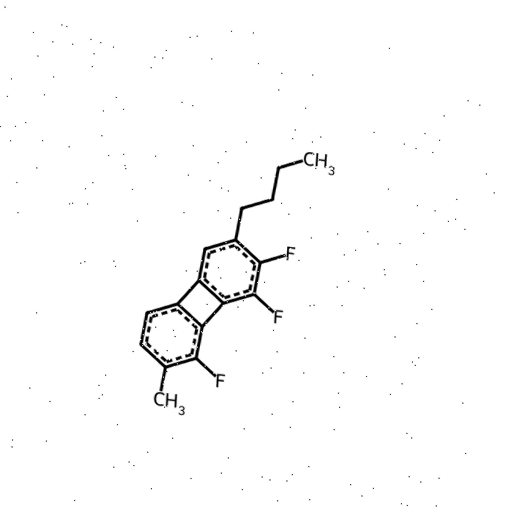 CCCCc1cc2c(c(F)c1F)-c1c-2ccc(C)c1F